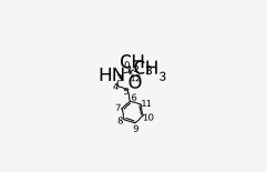 CC1(C)NCC(c2ccccc2)O1